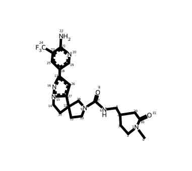 CN1CCC(CNC(=O)N2CCC3(CCn4nc(-c5cnc(N)c(C(F)(F)F)c5)cc43)C2)CC1=O